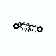 C[SiH](C)C(CCOC1CCCCC1)SSSc1nc2ccccc2s1